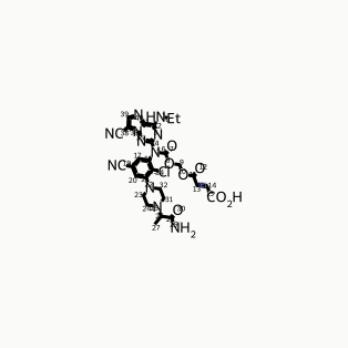 CCNc1nc(N(C(=O)OCOC(=O)/C=C/C(=O)O)c2cc(C#N)cc(N3CCN(C(C)C(N)=O)CC3)c2Cl)nn2c(C#N)cnc12